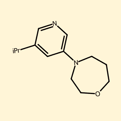 CC(C)c1cncc(N2CCCOCC2)c1